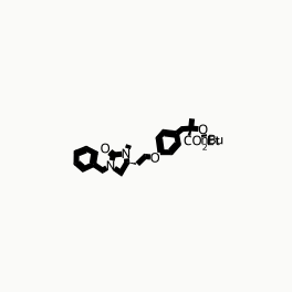 CCCCO[C@@](C)(Cc1ccc(OCC[C@@H]2CN(Cc3ccccc3)C(=O)N2C)cc1)C(=O)OCC